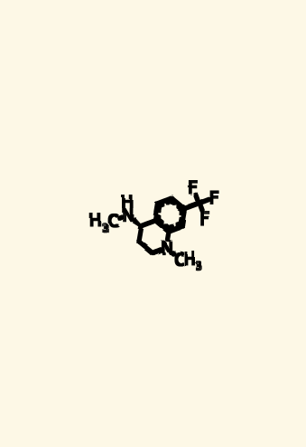 CN[C@@H]1CCN(C)c2cc(C(F)(F)F)ccc21